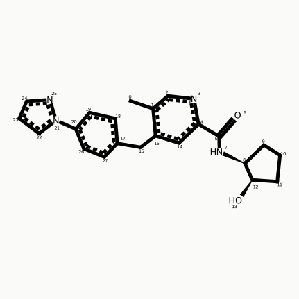 Cc1cnc(C(=O)N[C@H]2CCC[C@H]2O)cc1Cc1ccc(-n2cccn2)cc1